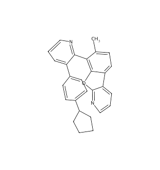 Cc1ccc2c(oc3ncccc32)c1-c1ncccc1-c1ccc(C2CCCC2)cc1